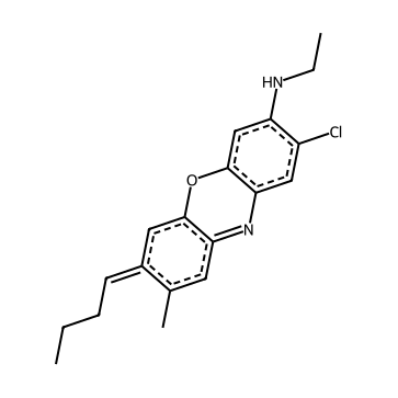 CCC/C=c1/cc2c(cc1C)=Nc1cc(Cl)c(NCC)cc1O2